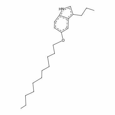 CCCCCCCCCCCOc1ccc2[nH]cc(CCC)c2c1